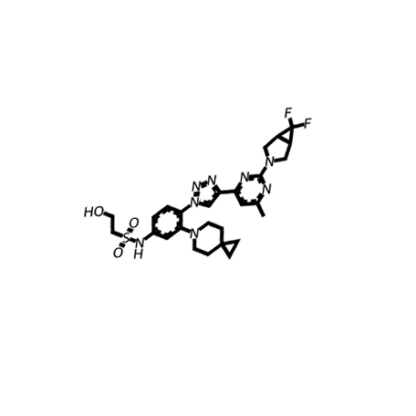 Cc1cc(-c2cn(-c3ccc(NS(=O)(=O)CCO)cc3N3CCC4(CC3)CC4)nn2)nc(N2CC3C(C2)C3(F)F)n1